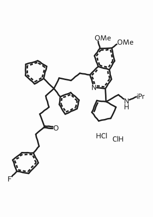 COc1cc2cc(C3(CNC(C)C)C=CCCC3)nc(CCCC(CCCC(=O)CCc3ccc(F)cc3)(c3ccccc3)c3ccccc3)c2cc1OC.Cl.Cl